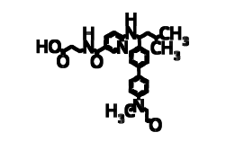 CC(C)CC(Nc1ccc(C(=O)NCCC(=O)O)cn1)c1ccc(-c2ccc(N(C)CC=O)cc2)cc1